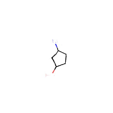 NC1[CH]C(O)CC1